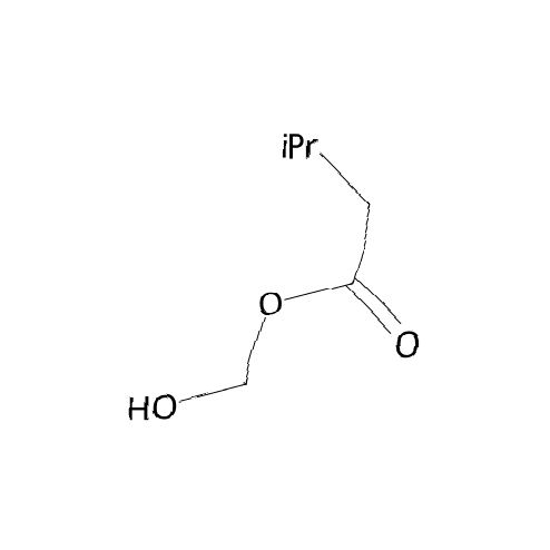 CC(C)CC(=O)OCO